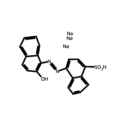 O=S(=O)(O)c1ccc(N=Nc2c(O)ccc3ccccc23)c2ccccc12.[Na].[Na].[Na]